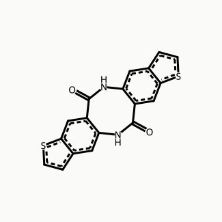 O=C1Nc2cc3ccsc3cc2C(=O)Nc2cc3ccsc3cc21